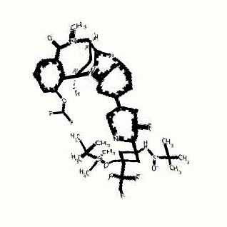 CN1C(=O)c2cccc(OC(F)F)c2[C@H]2C[C@@H]1c1nc3ccc(-c4cnc(C5(N[S+]([O-])C(C)(C)C)CC(O[Si](C)(C)C(C)(C)C)(C(F)(F)F)C5)c(F)c4)cc3n12